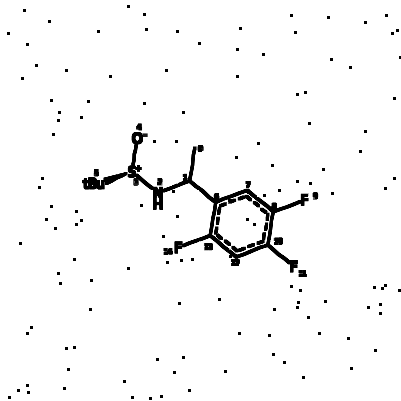 CC(N[S@+]([O-])C(C)(C)C)c1cc(F)c(F)cc1F